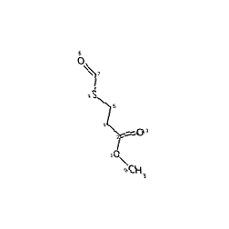 COC(=O)CCSC=O